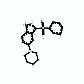 O=S(=O)(c1ccccc1)c1n[nH]c2ccc(N3CCCCC3)cc12